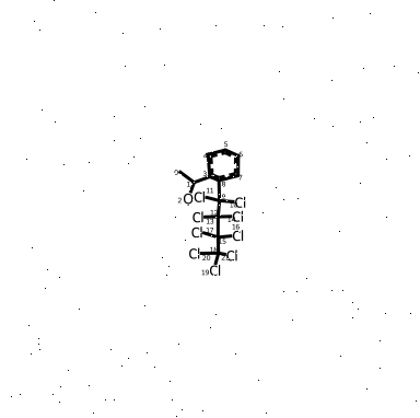 CC([O])c1ccccc1C(Cl)(Cl)C(Cl)(Cl)C(Cl)(Cl)C(Cl)(Cl)Cl